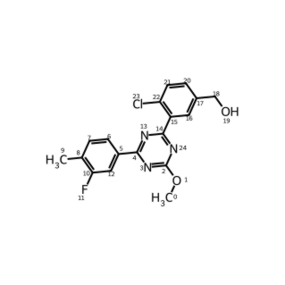 COc1nc(-c2ccc(C)c(F)c2)nc(-c2cc(CO)ccc2Cl)n1